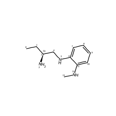 CC[C@H](N)CNc1ccccc1NC